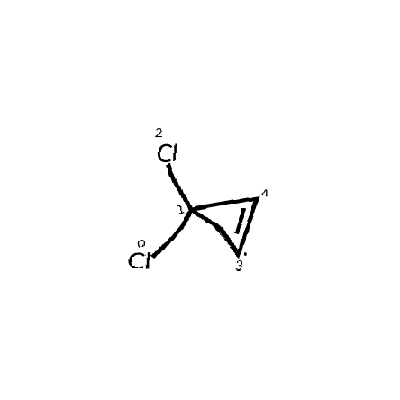 ClC1(Cl)[C]=C1